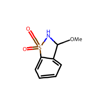 COC1NS(=O)(=O)c2ccccc21